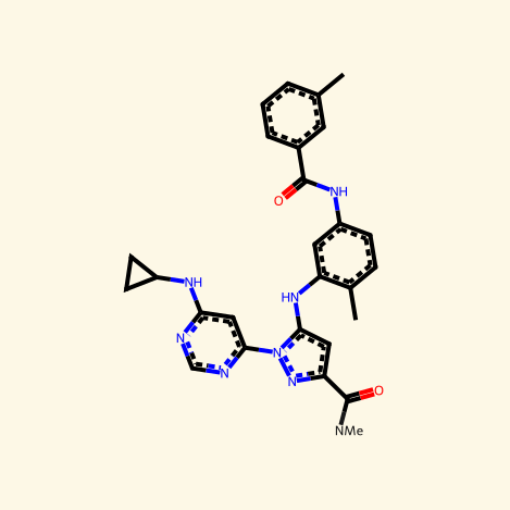 CNC(=O)c1cc(Nc2cc(NC(=O)c3cccc(C)c3)ccc2C)n(-c2cc(NC3CC3)ncn2)n1